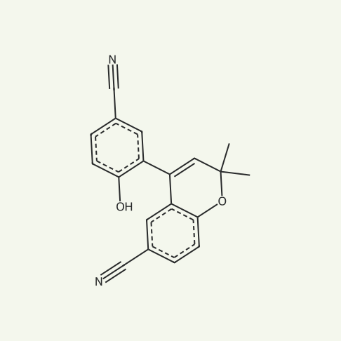 CC1(C)C=C(c2cc(C#N)ccc2O)c2cc(C#N)ccc2O1